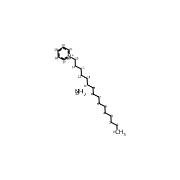 CCCCCCCCCCCCCCCC[n+]1ccccc1.N